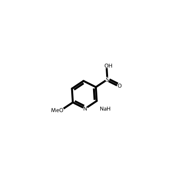 COc1ccc(S(=O)O)cn1.[NaH]